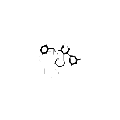 Cc1cc(F)cc(-c2cncc(NCc3cccc(Cl)c3)c2N2CCC(N)CC2)c1